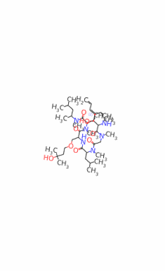 C=C/C=C(\C=C)CC(C(=O)N(C)C(C)CC(C)C)N(C)C(=O)C(COCCC(C)(C)O)NC(=O)C(CC(C)C)N(C)C(=O)CN(C)C(=O)C(NC)C(C)O